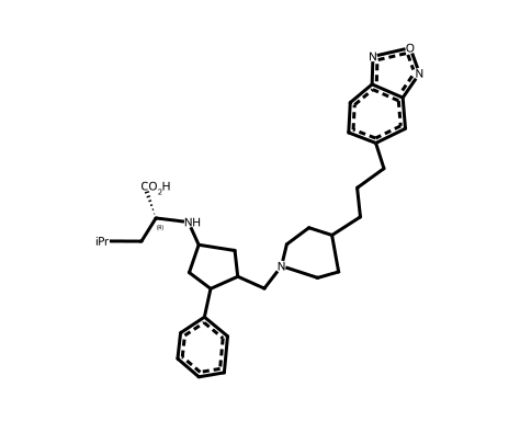 CC(C)C[C@@H](NC1CC(CN2CCC(CCCc3ccc4nonc4c3)CC2)C(c2ccccc2)C1)C(=O)O